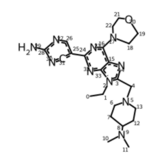 CCn1c(CN2CCC(N(C)C)CC2)nc2c(N3CCOCC3)nc(-c3cnc(N)nc3)nc21